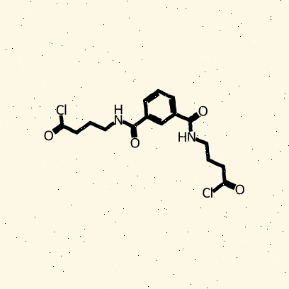 O=C(Cl)CCCNC(=O)c1cccc(C(=O)NCCCC(=O)Cl)c1